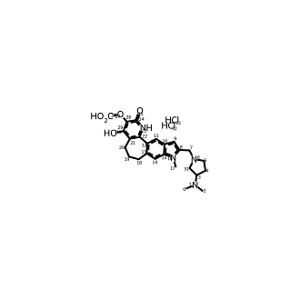 CN(C)C1CCN(Cc2cc3cc4c(cc3n2C)CCCc2c-4[nH]c(=O)c(OC(=O)O)c2O)C1.Cl.Cl